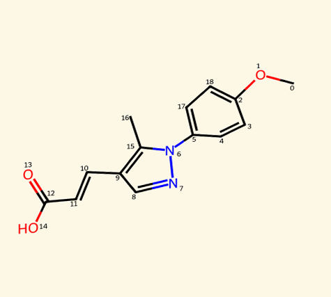 COc1ccc(-n2ncc(/C=C/C(=O)O)c2C)cc1